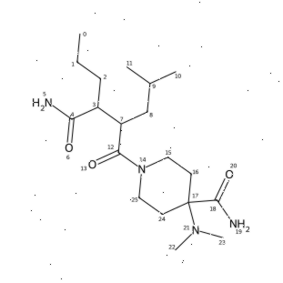 CCCC(C(N)=O)C(CC(C)C)C(=O)N1CCC(C(N)=O)(N(C)C)CC1